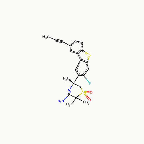 CC#Cc1ccc2sc3cc(F)c([C@]4(C)CS(=O)(=O)C(C)(C)C(N)=N4)cc3c2c1